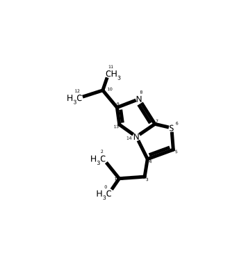 CC(C)Cc1csc2nc(C(C)C)cn12